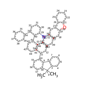 CC1(C)c2ccccc2-c2c(-c3ccc(N(c4ccc5oc6ccccc6c5c4)c4cccc(-c5ccccc5)c4-c4ccccc4-c4ccccc4)cc3)cccc21